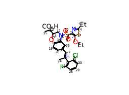 CCOc1sc(CC)nc1S(=O)(=O)N1CC(C(C)C(=O)O)Oc2ccc(/C=C(\C)c3c(F)cccc3Cl)cc21